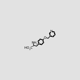 N[C@@H](Cc1ccc(OCc2cccnc2)cc1)C(=O)O